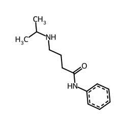 CC(C)NCCCC(=O)Nc1ccccc1